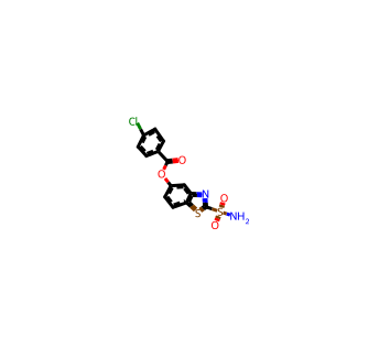 NS(=O)(=O)c1nc2cc(OC(=O)c3ccc(Cl)cc3)ccc2s1